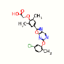 Cc1ccc(Cl)cc1Oc1ncc2nc(-c3cc(C)c(OCC(=O)O)c(C)c3)oc2n1